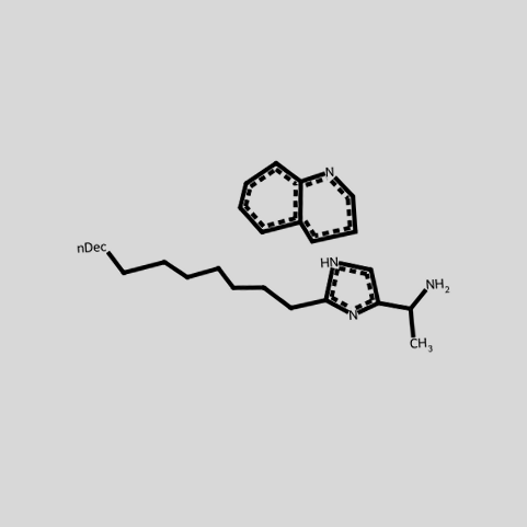 CCCCCCCCCCCCCCCCCc1nc(C(C)N)c[nH]1.c1ccc2ncccc2c1